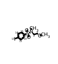 COCCN(C)S(=O)(=O)c1ccc(I)cc1